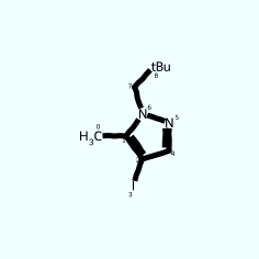 Cc1c(I)cnn1CC(C)(C)C